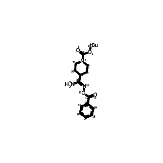 CC(C)(C)OC(=O)N1CCC(/C(N)=N/OC(=O)c2ccccc2)CC1